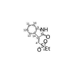 CCS(=O)(=O)C=C1C(=O)Nc2ccccc21